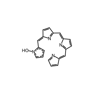 On1cccc1C=C1C=CC(C=C2C=CC(C=C3C=CC=N3)=N2)=N1